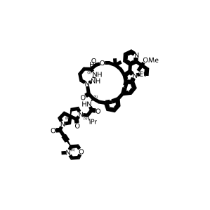 C=CC(C)(OC)c1ncccc1-c1c2c3cc(ccc3n1CC)-c1cccc(c1)C[C@H](NC(=O)[C@H](C(C)C)N1CC[C@@]3(CCN(C(=O)C#C[C@H]4COCCN4C)C3)C1=O)C(=O)N1CCC[C@H](NN1)C(=O)OCC(C)(C)C2